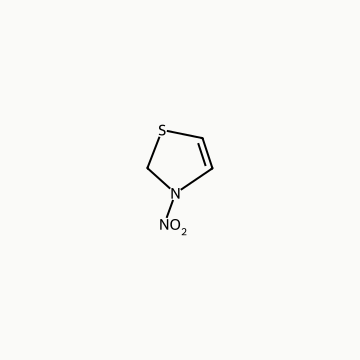 O=[N+]([O-])N1C=CSC1